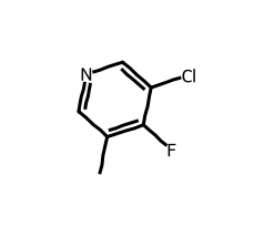 Cc1cncc(Cl)c1F